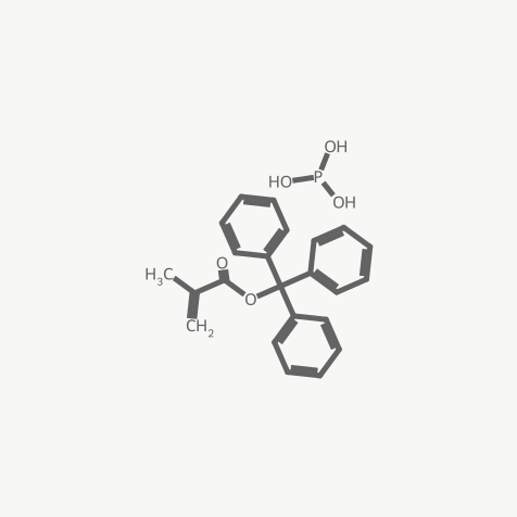 C=C(C)C(=O)OC(c1ccccc1)(c1ccccc1)c1ccccc1.OP(O)O